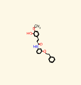 COc1ccc(/C=C/C(=O)Nc2cccc(OCCc3ccccc3)c2)cc1O